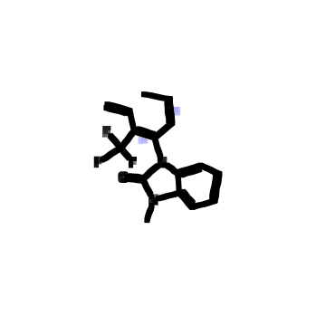 C=C/C(=C(\C=C/C)n1c(=O)n(C)c2ccccc21)C(F)(F)F